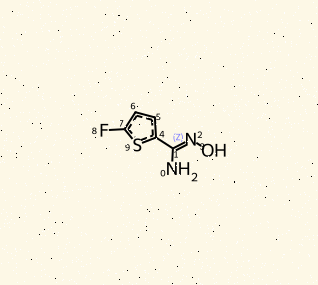 N/C(=N\O)c1ccc(F)s1